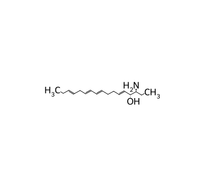 CC/C=C/C/C=C/C=C/CC/C=C/[C@@H](O)[C@@H](N)CC